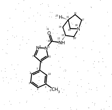 Cc1cccc(-c2cnn(C(=O)N[C@@H]3C[C@H]4CCN(C4)C3)c2)c1